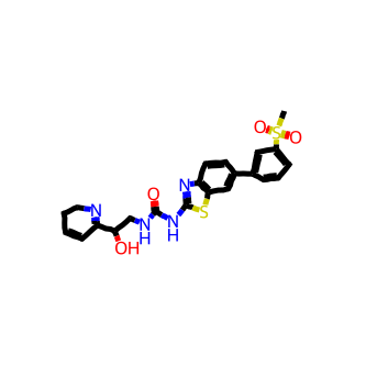 CS(=O)(=O)c1cccc(-c2ccc3nc(NC(=O)NCC(O)C4=NCCC=C4)sc3c2)c1